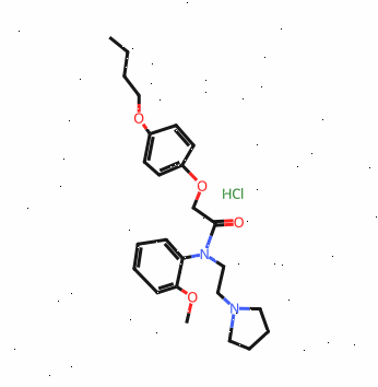 CCCCOc1ccc(OCC(=O)N(CCN2CCCC2)c2ccccc2OC)cc1.Cl